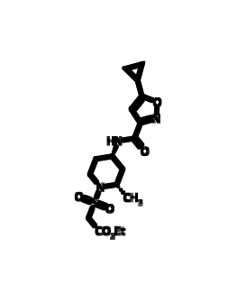 CCOC(=O)CS(=O)(=O)N1CC[C@@H](NC(=O)c2cc(C3CC3)on2)C[C@@H]1C